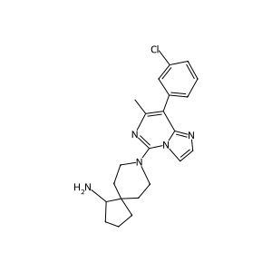 Cc1nc(N2CCC3(CCCC3N)CC2)n2ccnc2c1-c1cccc(Cl)c1